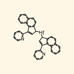 C1=C(c2ccccn2)c2c(ccc3ccccc23)[CH]1[Hf][CH]1C=C(c2ccccn2)c2c1ccc1ccccc21